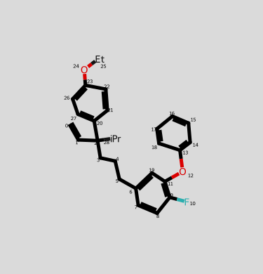 C=CC(CCCc1ccc(F)c(Oc2ccccc2)c1)(c1ccc(OCC)cc1)C(C)C